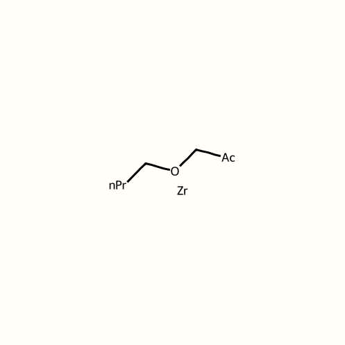 CCCCOCC(C)=O.[Zr]